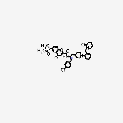 CC(=O)N(C)c1ccc2oc(C(=O)N/C(C=C3CCN(c4ccccc4CN4CCCCC4=O)CC3)=C\c3ccc(Cl)cc3)cc(=O)c2c1